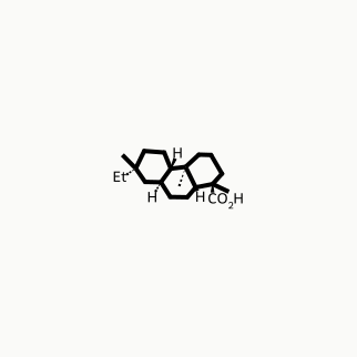 CC[C@]1(C)CC[C@H]2[C@@H](CC[C@@H]3[C@]2(C)CCC[C@@]3(C)C(=O)O)C1